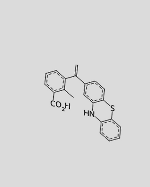 C=C(c1ccc2c(c1)Nc1ccccc1S2)c1cccc(C(=O)O)c1C